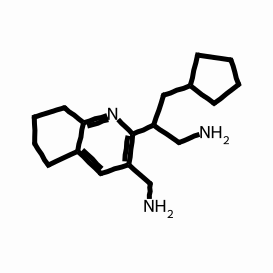 NCc1cc2c(nc1C(CN)CC1CCCC1)CCCC2